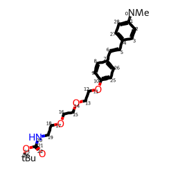 CNc1ccc(/C=C/c2ccc(OCCOCCOCCNC(=O)OC(C)(C)C)cc2)cc1